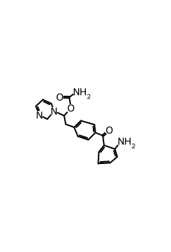 NC(=O)OC(Cc1ccc(C(=O)c2ccccc2N)cc1)N1C=CC=NC1